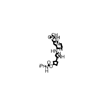 CC(C)NC(=O)OC1CCC(c2cc(Nc3nccn4nc(CS(C)(=N)=O)cc34)n[nH]2)C1